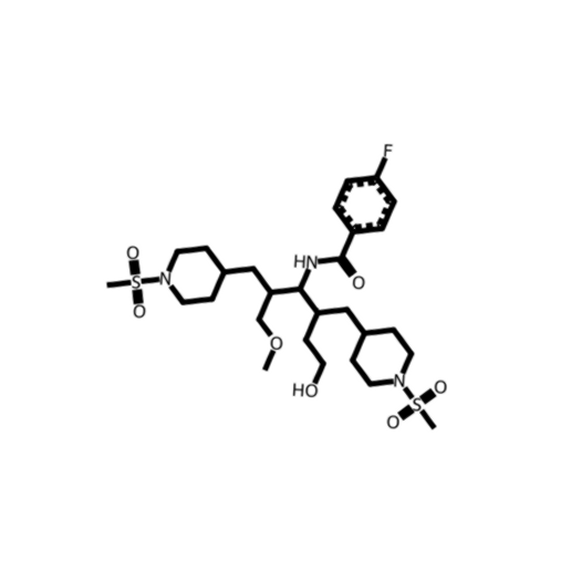 COCC(CC1CCN(S(C)(=O)=O)CC1)C(NC(=O)c1ccc(F)cc1)[C](CCO)CC1CCN(S(C)(=O)=O)CC1